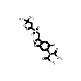 CC(=O)N(C(C)=O)c1cc2onc(CS(=O)(=O)C3=NOC(C)(C)C3)c2cc1F